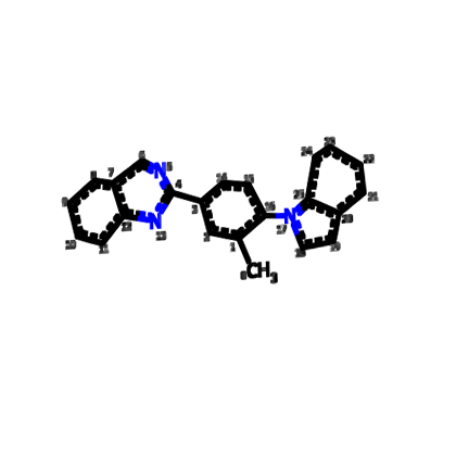 Cc1cc(-c2ncc3ccccc3n2)ccc1-n1ccc2ccccc21